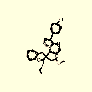 CCOC(=O)C(CC(=O)OC)(Cc1ccccc1)c1ccnc2c(-c3ccc(Cl)cc3)cnn12